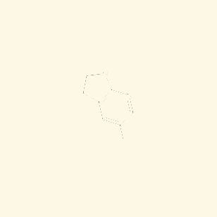 Clc1cnc2c(c1)CCN2